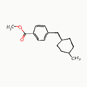 COC(=O)c1ccc(CC2CCC(C)CC2)cc1